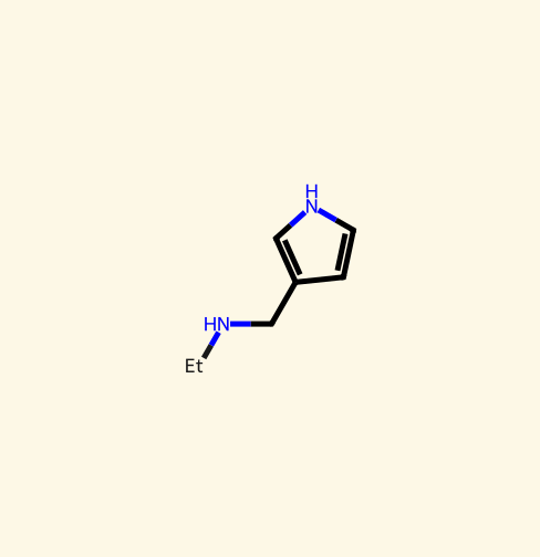 CCNCc1cc[nH]c1